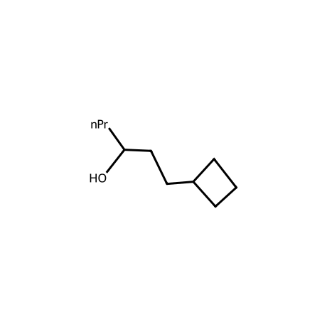 CCCC(O)CCC1CCC1